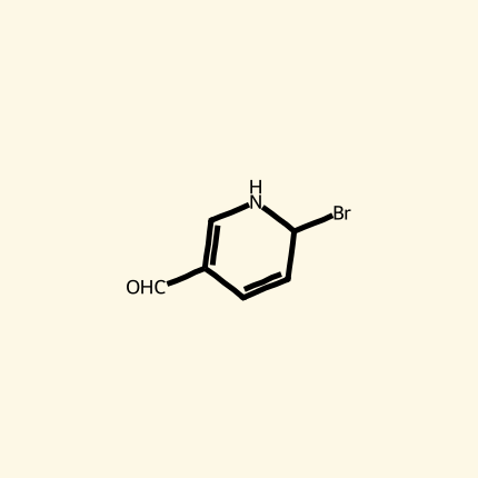 O=CC1=CNC(Br)C=C1